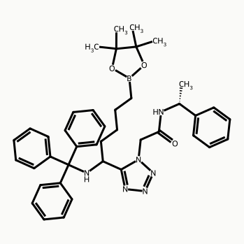 C[C@@H](NC(=O)Cn1nnnc1C(CCCCB1OC(C)(C)C(C)(C)O1)NC(c1ccccc1)(c1ccccc1)c1ccccc1)c1ccccc1